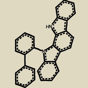 c1ccc(-c2ccccc2-n2c3ccccc3c3ccc4c5ccccc5[nH]c4c32)cc1